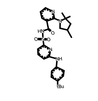 CC1CN(c2ncccc2C(=O)NS(=O)(=O)c2cccc(Nc3ccc(C(C)(C)C)cc3)n2)C(C)(C)C1